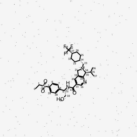 CCS(=O)(=O)c1ccc([C@@H](CO)NC(=O)c2cnc3c(c2)CN(C[C@H]2CC[C@H](C(F)(F)F)CC2)[C@H]3C(C)C)cc1